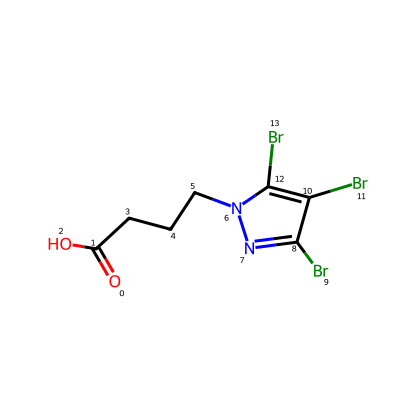 O=C(O)CCCn1nc(Br)c(Br)c1Br